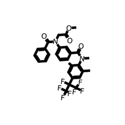 COC(=O)CN(C(=O)c1ccccc1)c1cccc(C(=O)N(C)c2c(C)cc(C(F)(C(F)(F)F)C(F)(F)F)cc2C)c1